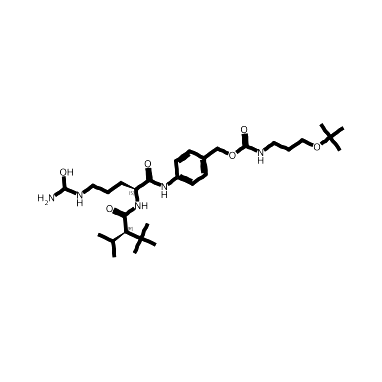 CC(C)[C@@H](C(=O)N[C@@H](CCCNC(N)O)C(=O)Nc1ccc(COC(=O)NCCCOC(C)(C)C)cc1)C(C)(C)C